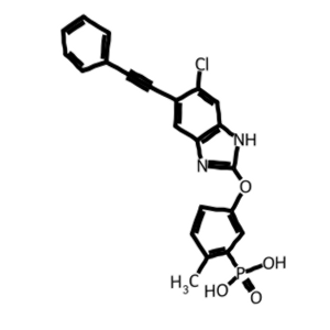 Cc1ccc(Oc2nc3cc(C#Cc4ccccc4)c(Cl)cc3[nH]2)cc1P(=O)(O)O